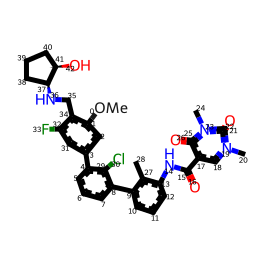 COc1cc(-c2cccc(-c3cccc(NC(=O)c4cn(C)c(=O)n(C)c4=O)c3C)c2Cl)cc(F)c1CN[C@H]1CCC[C@H]1O